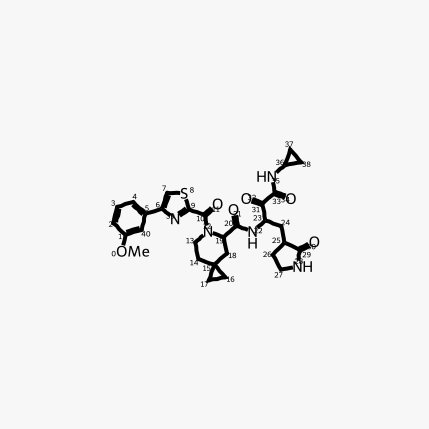 COc1cccc(-c2csc(C(=O)N3CCC4(CC4)CC3C(=O)NC(CC3CCNC3=O)C(=O)C(=O)NC3CC3)n2)c1